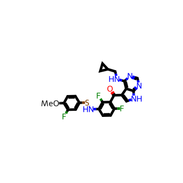 COc1ccc(SNc2ccc(F)c(C(=O)c3c[nH]c4ncnc(NCC5CC5)c34)c2F)cc1F